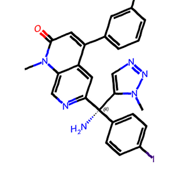 Cn1nncc1[C@@](N)(c1ccc(I)cc1)c1cc2c(-c3cccc(Cl)c3)cc(=O)n(C)c2cn1